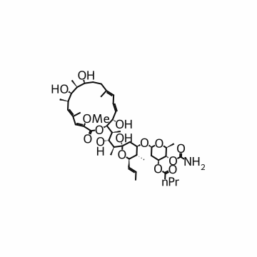 C/C=C/[C@H]1O[C@@](O)([C@@H](C)[C@H](O)[C@H](C)[C@H]2OC(=O)/C(OC)=C/C(C)=C/[C@@H](C)[C@@H](O)[C@@H](C)[C@@H](O)[C@H](C)C/C(C)=C/C=C/[C@@H]2O)C[C@@H](O[C@@H]2C[C@H](OC(=O)CCC)[C@@H](OC(N)=O)[C@H](C)O2)[C@@H]1C